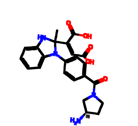 CC1(C(=CC(=O)O)C(=O)O)Nc2ccccc2N1c1ccc(C(=O)N2CC[C@H](N)C2)cc1